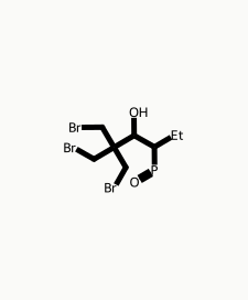 CCC(P=O)C(O)C(CBr)(CBr)CBr